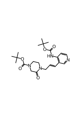 CC(C)(C)OC(=O)Nc1ccncc1C=CCN1CCN(C(=O)OC(C)(C)C)CC1=O